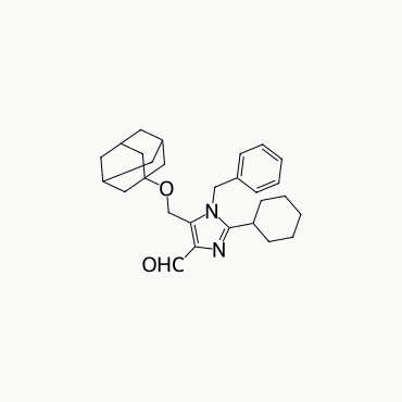 O=Cc1nc(C2CCCCC2)n(Cc2ccccc2)c1COC12CC3CC(CC(C3)C1)C2